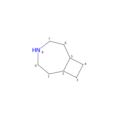 C1CC2CCC2CCN1